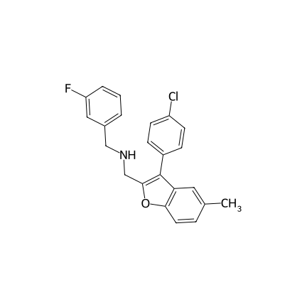 Cc1ccc2oc(CNCc3cccc(F)c3)c(-c3ccc(Cl)cc3)c2c1